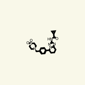 O=C(Nc1nc2n(n1)C(c1ccc(CN3CCS(=O)(=O)CC3)cc1)CCC2)C1CC1